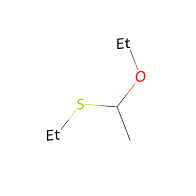 CCOC(C)SCC